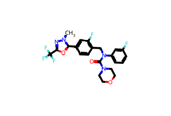 CN1N=C(C(F)(F)F)OC1c1ccc(CN(C(=O)N2CCOCC2)c2cccc(F)c2)c(F)c1